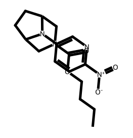 CCCCOC(=O)N1CC2CCC(C1)N2c1ccc([N+](=O)[O-])nc1